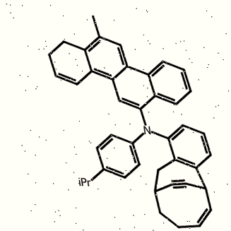 Cc1cc2c(cc(N(c3ccc(C(C)C)cc3)c3cccc4c3CC3C#CC4/C=C\CC3)c3ccccc32)c2c1CCC=C2